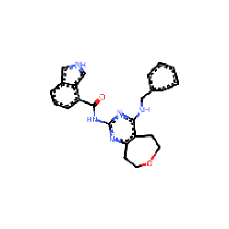 O=C(Nc1nc2c(c(NCc3ccccc3)n1)CCOCC2)c1cccc2c[nH]cc12